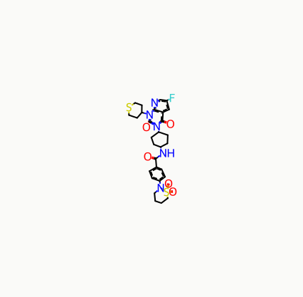 O=C(N[C@H]1CC[C@@H](n2c(=O)c3cc(F)cnc3n(C3CCSCC3)c2=O)CC1)c1ccc(N2CCCCS2(=O)=O)cc1